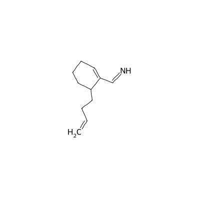 C=CCCC1CCCC=C1C=N